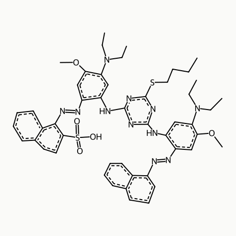 CCCCSc1nc(Nc2cc(N(CC)CC)c(OC)cc2/N=N/c2cccc3ccccc23)nc(Nc2cc(N(CC)CC)c(OC)cc2/N=N/c2c(S(=O)(=O)O)ccc3ccccc23)n1